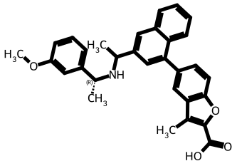 COc1cccc([C@@H](C)NC(C)c2cc(-c3ccc4oc(C(=O)O)c(C)c4c3)c3ccccc3c2)c1